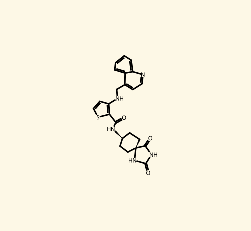 O=C1NC(=O)[C@]2(CC[C@H](NC(=O)c3sccc3NCc3ccnc4ccccc34)CC2)N1